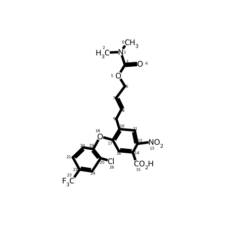 CN(C)C(=O)OCC=CCc1cc([N+](=O)[O-])c(C(=O)O)cc1Oc1ccc(C(F)(F)F)cc1Cl